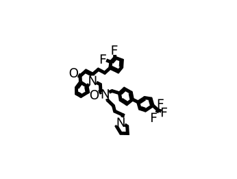 O=C(Cn1c(CCc2cccc(F)c2F)cc(=O)c2ccccc21)N(CCCCN1CCCC1)Cc1ccc(-c2ccc(C(F)(F)F)cc2)cc1